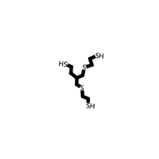 SCCSCC(CCS)CSCCS